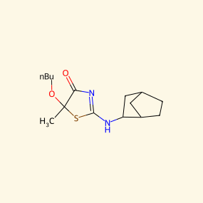 CCCCOC1(C)SC(NC2CC3CCC2C3)=NC1=O